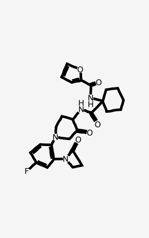 O=C(NC1(C(=O)NC2CCN(c3ccc(F)cc3N3CCC3=O)CC2=O)CCCCC1)c1ccco1